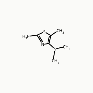 Cc1sc(P)nc1N(C)C